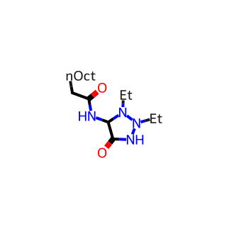 CCCCCCCCCC(=O)NC1C(=O)NN(CC)N1CC